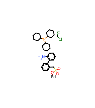 C1CCC(P(C2CCCCC2)C2CCCCC2)CC1.ClCCl.Nc1ccccc1-c1ccccc1CS(=O)(=O)[O][Pd]